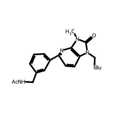 CC(=O)NCc1cccc(-c2ccc3c(n2)n(C)c(=O)n3CC(C)(C)C)c1